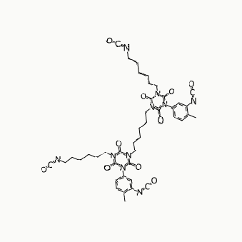 Cc1ccc(-n2c(=O)n(CCCCCCN=C=O)c(=O)n(CCCCCCn3c(=O)n(CCCCCCN=C=O)c(=O)n(-c4ccc(C)c(N=C=O)c4)c3=O)c2=O)cc1N=C=O